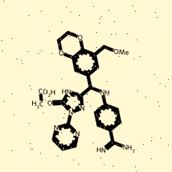 CC(=O)O.COCc1cc(C(Nc2ccc(C(=N)N)cc2)c2nn(-c3ncccn3)c(=O)[nH]2)cc2c1OCCO2